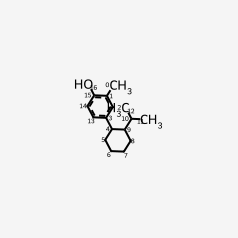 Cc1cc(C2CCCCC2C(C)C)ccc1O